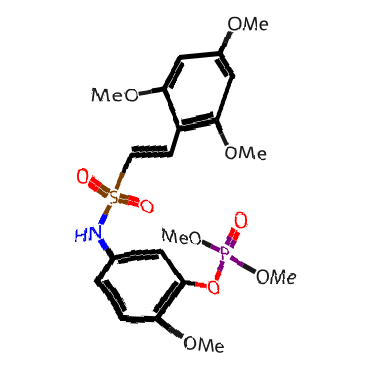 COc1cc(OC)c(/C=C/S(=O)(=O)Nc2ccc(OC)c(OP(=O)(OC)OC)c2)c(OC)c1